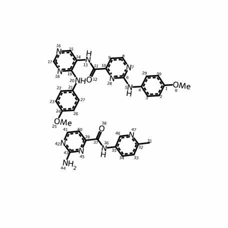 COc1ccc(Nc2nccc(C(=O)Nc3cncnc3Nc3ccc(OC)cc3)n2)cc1.Cc1ccc(NC(=O)c2ccnc(N)n2)cn1